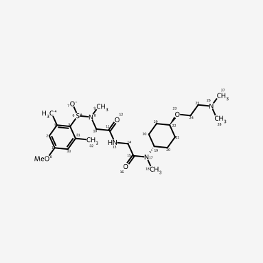 COc1cc(C)c([S+]([O-])N(C)CC(=O)NCC(=O)N(C)[C@H]2CC[C@H](OCCN(C)C)CC2)c(C)c1